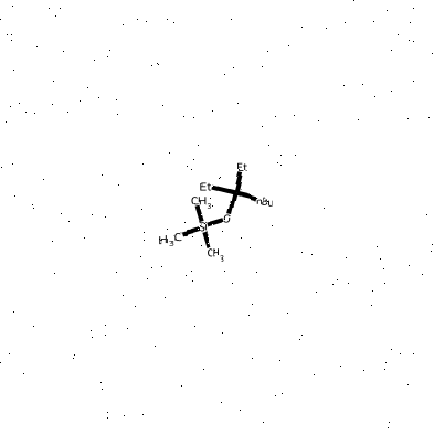 [CH2]CCCC(CC)(CC)O[Si](C)(C)C